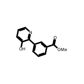 COC(=O)c1cccc(-c2ncccc2O)c1